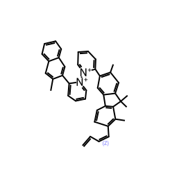 C=C/C=C\c1ccc2c(c1C)C(C)(C)c1cc(C)c(-c3cccc[n+]3-[n+]3ccccc3-c3cc4ccccc4cc3C)cc1-2